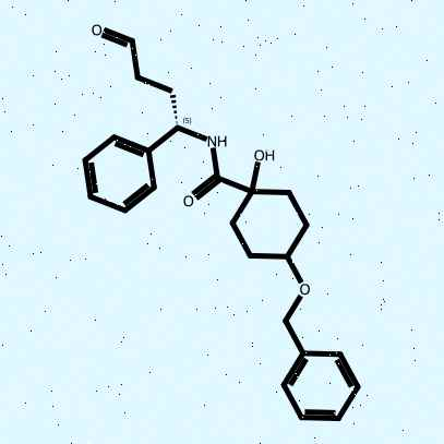 O=CCC[C@H](NC(=O)C1(O)CCC(OCc2ccccc2)CC1)c1ccccc1